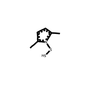 Cc1ccc(C)n1SS